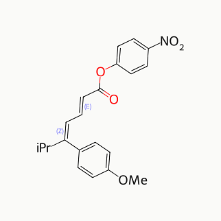 COc1ccc(/C(=C\C=C\C(=O)Oc2ccc([N+](=O)[O-])cc2)C(C)C)cc1